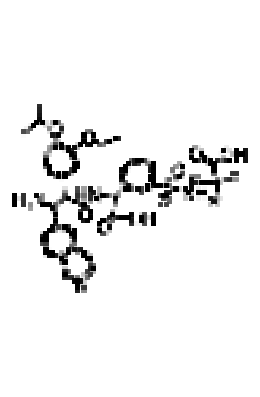 CCOc1cc(C(C(=O)NC(C(=O)O)c2cccc(S(N)(=O)=O)c2)N(N)c2ccc3cnccc3c2)ccc1OC(C)C.O=C(O)C(F)(F)F